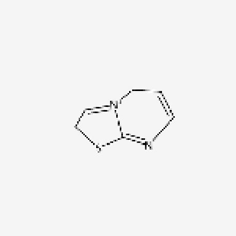 C1=CN=C2SCC=[N+]2C1